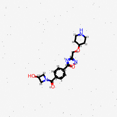 O=C(c1ccc(-c2nc(COC3CCNCC3)no2)cc1)N1CC(O)C1